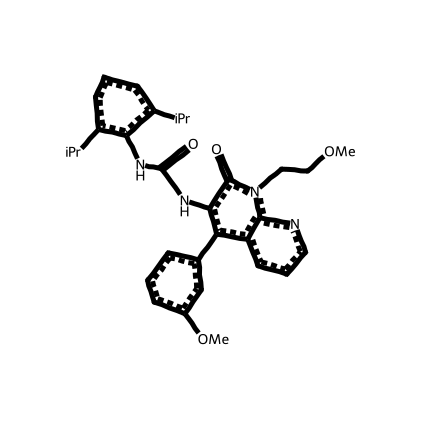 COCCn1c(=O)c(NC(=O)Nc2c(C(C)C)cccc2C(C)C)c(-c2cccc(OC)c2)c2cccnc21